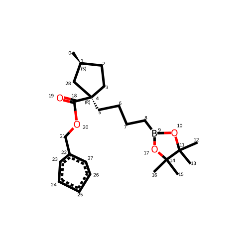 C[C@H]1CC[C@@](CCCCB2OC(C)(C)C(C)(C)O2)(C(=O)OCc2ccccc2)C1